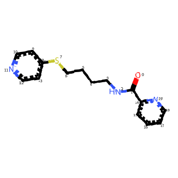 O=C(NCCCCSc1ccncc1)c1ccccn1